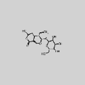 C=CC1C(OC2OC(CO)C(O)C(O)C2O)OC=C2C(=O)OC(O)CC21